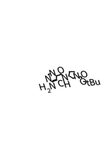 CC(C)(C)OC(=O)N1CC[C@@H](NC(=O)c2ncnc(N)c2Cl)C1